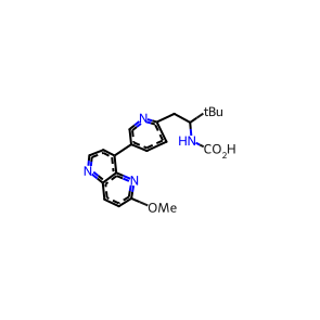 COc1ccc2nccc(-c3ccc(CC(NC(=O)O)C(C)(C)C)nc3)c2n1